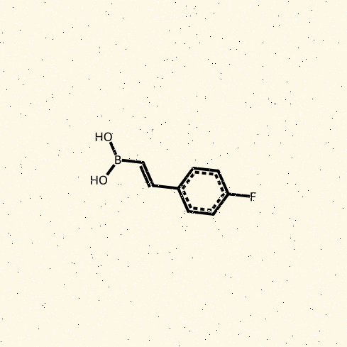 OB(O)C=Cc1ccc(F)cc1